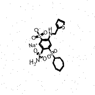 NS(=O)(=O)c1cc(S(=O)(=O)[O-])c(NCc2cccs2)cc1S(=O)(=O)C1CCCCCC1.[Na+]